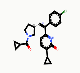 O=C(C1CC1)N1CC[C@H](/C=C(/c2ccc(Cl)cc2)c2ccc(C3CC3)c(=O)[nH]2)C1